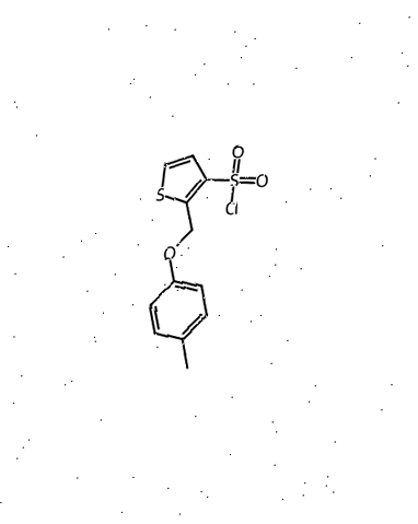 Cc1ccc(OCc2sccc2S(=O)(=O)Cl)cc1